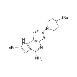 CCCc1cc2c(N)nc3cc(N4CCN(C(C)(C)C)CC4)ccc3c2[nH]1